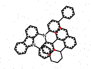 c1ccc(-c2ccc(N(c3ccccc3-c3cccc4cccc(C5CCCCC5)c34)c3cccc4c5ccccc5n(-c5ccccc5)c34)cc2)cc1